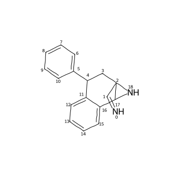 N=CC12CC(c3ccccc3)c3ccccc3C1N2